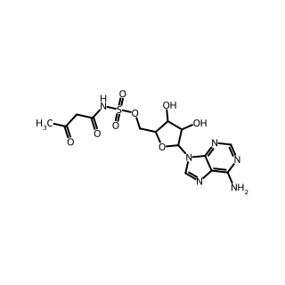 CC(=O)CC(=O)NS(=O)(=O)OCC1OC(n2cnc3c(N)ncnc32)C(O)C1O